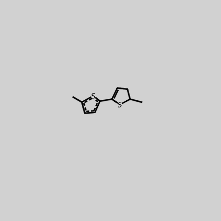 Cc1ccc(C2=CCC(C)S2)s1